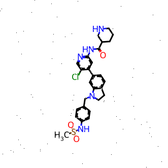 CS(=O)(=O)Nc1ccc(CN2CCc3ccc(-c4cc(NC(=O)C5CCCNC5)ncc4Cl)cc32)cc1